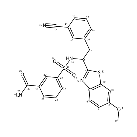 COc1ccc2nc(C(Cc3cccc(C#N)c3)NS(=O)(=O)c3cccc(C(N)=O)c3)sc2c1